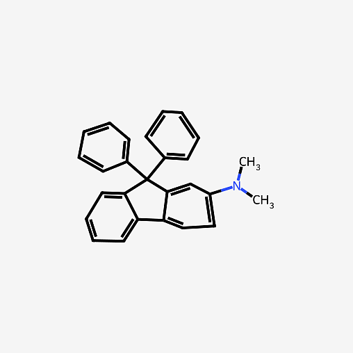 CN(C)c1ccc2c(c1)C(c1ccccc1)(c1ccccc1)c1ccccc1-2